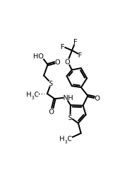 CCc1cc(C(=O)c2ccc(OC(F)(F)F)cc2)c(NC(=O)[C@H](C)SCC(=O)O)s1